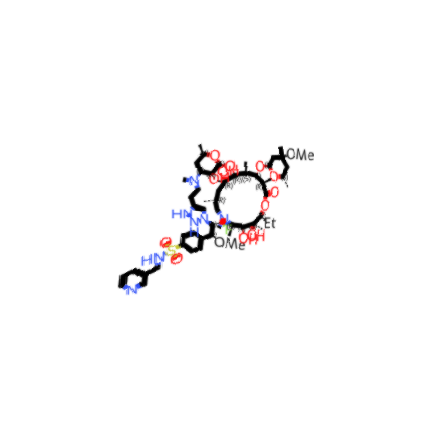 CC[C@H]1OC(=O)[C@H](C)[C@@H](O[C@H]2C[C@@](C)(OC)C[C@H](C)O2)[C@H](C)[C@@H](O[C@@H]2O[C@H](C)C[C@H](N(C)CCC3=CN([C@H](CF)[C@H](OC)c4ccc(S(=O)(=O)NCc5cccnc5)cc4)NN3)[C@H]2O)[C@](C)(O)C[C@@H](C)CN(C)[C@H](C)[C@@H](O)[C@]1(C)O